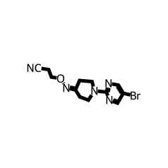 N#CCCON=C1CCN(c2ncc(Br)cn2)CC1